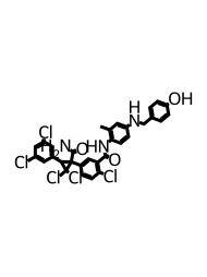 Cc1cc(NCc2ccc(O)cc2)ccc1NC(=O)c1cc(C2(C(N)=O)C(c3cc(Cl)cc(Cl)c3)C2(Cl)Cl)ccc1Cl